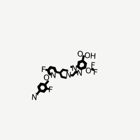 Cn1c(CN2CCC(c3ccc(F)c(OCc4ccc(C#N)cc4F)n3)CC2)nc2c(OC(F)F)cc(C(=O)O)cc21